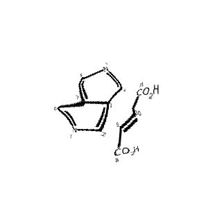 C1=NC=C2C=NC=C12.O=C(O)C=CC(=O)O